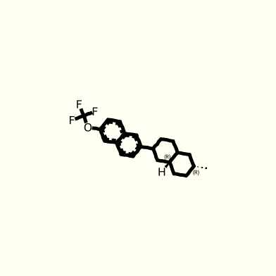 C[C@@H]1CC[C@@H]2CC(c3ccc4cc(OC(F)(F)F)ccc4c3)CCC2C1